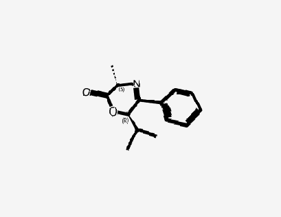 CC(C)[C@H]1OC(=O)[C@H](C)N=C1c1ccccc1